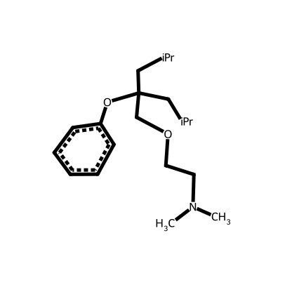 CC(C)CC(COCCN(C)C)(CC(C)C)Oc1ccccc1